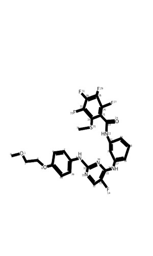 COCCOc1ccc(Nc2ncc(F)c(Nc3cccc(NC(=O)c4c(F)c(F)c(F)c(F)c4SC)c3)n2)cc1